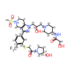 CS(=O)(=O)N1CCc2c(c(-c3ccc(C(F)(F)F)c(SCC(=O)N4CC[C@H](O)C4)c3)nn2CC(O)CN2CCC(NC(=O)CO)CC2)C1